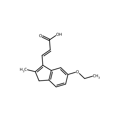 CCOc1ccc2c(c1)C(C=CC(=O)O)=C(C)C2